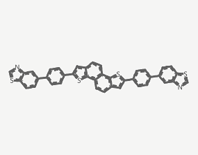 c1nc2cc(-c3ccc(-c4cc5ccc6c(ccc7cc(-c8ccc(-c9ccc%10scnc%10c9)cc8)sc76)c5s4)cc3)ccc2s1